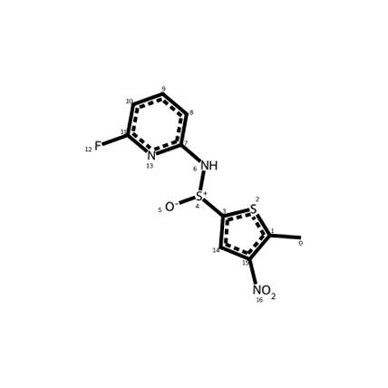 Cc1sc([S+]([O-])Nc2cccc(F)n2)cc1[N+](=O)[O-]